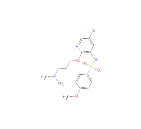 COc1ccc(S(=O)(=O)Nc2cc(Br)cnc2OCCCN(C)C)cc1